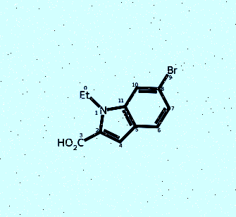 CCn1c(C(=O)O)cc2ccc(Br)cc21